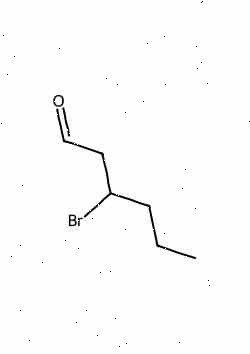 CCCC(Br)CC=O